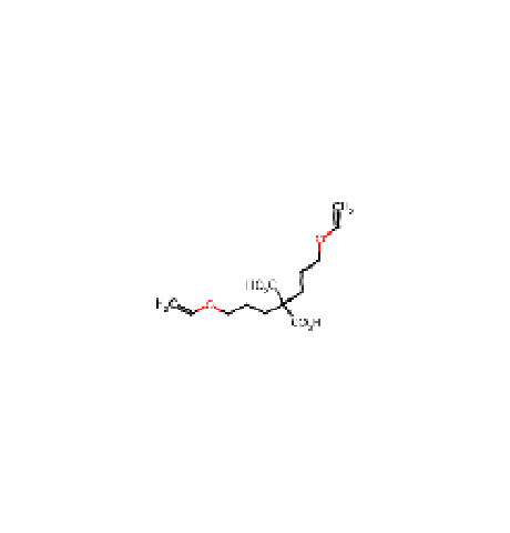 C=COCCCC(CCCOC=C)(C(=O)O)C(=O)O